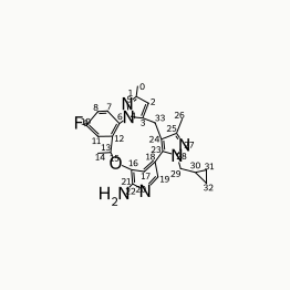 Cc1cc2n(n1)-c1ccc(F)cc1C(C)Oc1cc(cnc1N)-c1c(c(C)nn1CC1CC1)C2